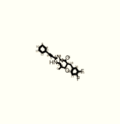 CC1=C2NC(C#Cc3ccccc3)=NN2C(=O)C(Cc2ccc(F)c(F)c2)C1=O